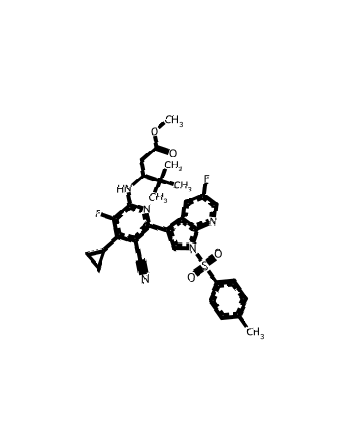 COC(=O)CC(Nc1nc(-c2cn(S(=O)(=O)c3ccc(C)cc3)c3ncc(F)cc23)c(C#N)c(C2CC2)c1F)C(C)(C)C